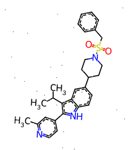 Cc1cc(-c2[nH]c3ccc(C4CCN(S(=O)(=O)Cc5ccccc5)CC4)cc3c2C(C)C)ccn1